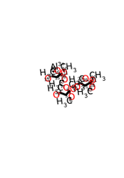 COC(CC[O-])(OC)OC.COC(CC[O-])(OC)OC.COC(CC[O-])(OC)OC.[Al+3]